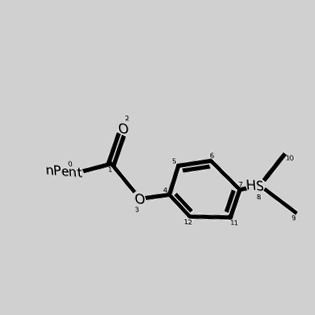 CCCCCC(=O)Oc1ccc([SH](C)C)cc1